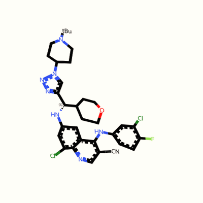 CC(C)(C)N1CCC(n2cc([C@@H](Nc3cc(Cl)c4ncc(C#N)c(Nc5ccc(F)c(Cl)c5)c4c3)C3CCOCC3)nn2)CC1